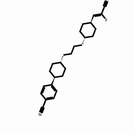 N#CC(F)=C[C@H]1CC[C@H](CCCC[C@H]2CC[C@H](c3ccc(C#N)cc3)CC2)CC1